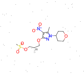 Cc1c([N+](=O)[O-])c(OC[C@H](C)COS(C)(=O)=O)nn1C1CCOCC1